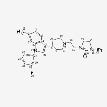 Cc1ccc2c(C3CCN(CCN4CCN(C(C)C)C4=O)CC3)cn(-c3cccc(F)c3)c2c1